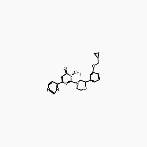 Cn1c(N2CCOC(c3cccc(OCC4CC4)c3)C2)nc(-c2ccncn2)cc1=O